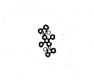 O=c1c2ccccc2c2ccccc2n1-c1ccc2c(-c3ccccc3)c3cc(-n4c(=O)c5ccccc5c5ccccc54)ccc3c(-c3ccccc3)c2c1